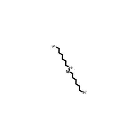 CC(C)CCCCCC[Se][Se]CCCCCCC(C)C